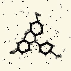 CCCCc1ccc(N2c3ccc(C(C)(C)C)cc3Oc3cc(C(C)(C)C)ccc32)cc1